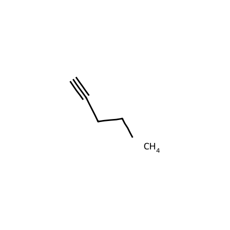 C.C#CCCC